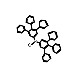 ClP(c1cc(-c2ccccc2)c(-c2ccccc2)c(-c2ccccc2)c1)c1cc(-c2ccccc2)c(-c2ccccc2)c(-c2ccccc2)c1